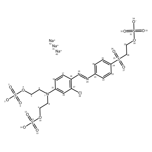 O=S(=O)([O-])OCCN(CCOS(=O)(=O)[O-])c1ccc(N=Nc2ccc(S(=O)(=O)CCOS(=O)(=O)[O-])cc2)c(Cl)c1.[Na+].[Na+].[Na+]